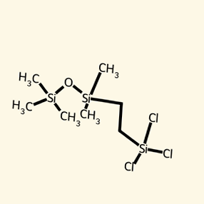 C[Si](C)(C)O[Si](C)(C)CC[Si](Cl)(Cl)Cl